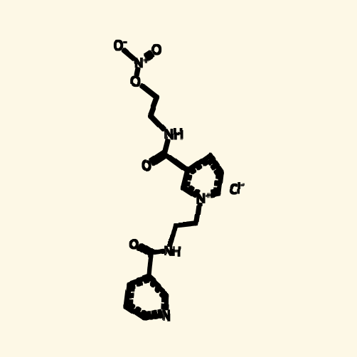 O=C(NCCO[N+](=O)[O-])c1ccc[n+](CCNC(=O)c2cccnc2)c1.[Cl-]